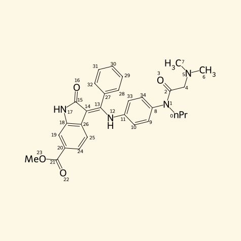 CCCN(C(=O)CN(C)C)c1ccc(NC(=C2C(=O)Nc3cc(C(=O)OC)ccc32)c2ccccc2)cc1